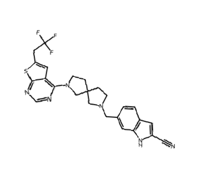 N#Cc1cc2ccc(CN3CCC4(CCN(c5ncnc6sc(CC(F)(F)F)cc56)C4)C3)cc2[nH]1